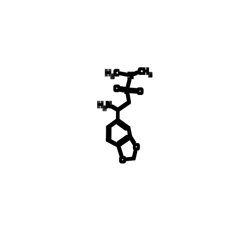 CN(C)S(=O)(=O)CC(N)c1ccc2c(c1)OCO2